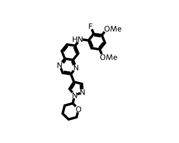 COc1cc(Nc2ccc3ncc(-c4cnn(C5CCCCO5)c4)nc3c2)c(F)c(OC)c1